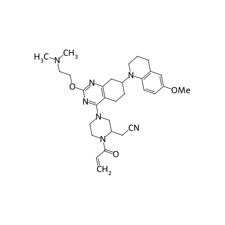 C=CC(=O)N1CCN(c2nc(OCCN(C)C)nc3c2CCC(N2CCCc4cc(OC)ccc42)C3)CC1CC#N